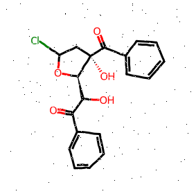 O=C(c1ccccc1)C(O)[C@H]1OC(Cl)[CH][C@@]1(O)C(=O)c1ccccc1